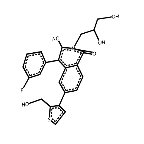 N#Cc1c(-c2cccc(F)c2)c2cc(-c3ccsc3CO)ccc2c(=O)n1CC(O)CO